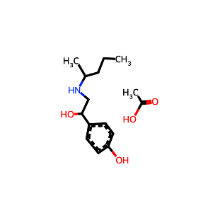 CC(=O)O.CCCC(C)NCC(O)c1ccc(O)cc1